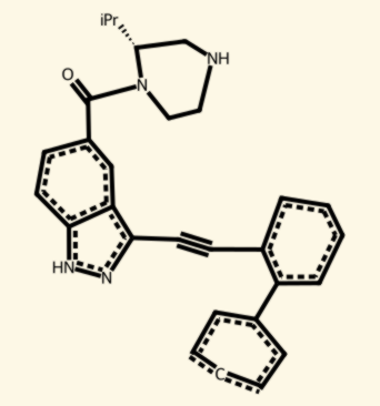 CC(C)[C@@H]1CNCCN1C(=O)c1ccc2[nH]nc(C#Cc3ccccc3-c3ccccc3)c2c1